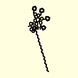 CCCCCCCCCCCCCCCCCCCCCCCC(=O)N[C@@H](COC1OC(COCc2ccccc2)C(OCc2ccccc2)C(OCc2ccccc2)C1OCc1ccccc1)[C@H](O)[C@@H](C)O